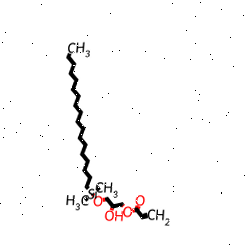 C=CC(=O)OCC(O)CO[Si](C)(C)CCCCCCCCCCCCCCCCCC